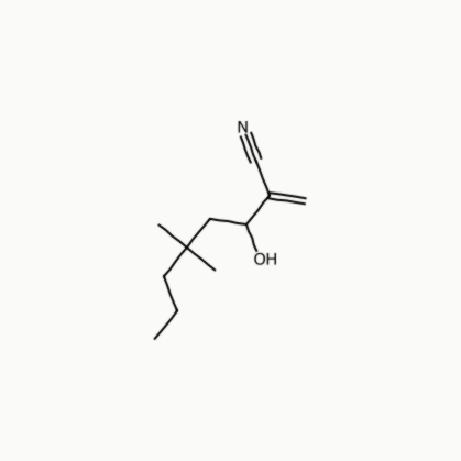 C=C(C#N)C(O)CC(C)(C)CCC